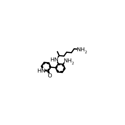 CC(CCCCN)Nc1c(N)cccc1-c1ccc[nH]c1=O